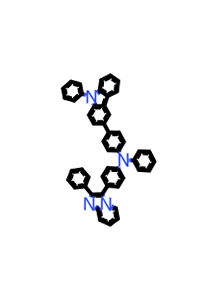 c1ccc(-c2nc3ccccn3c2-c2ccc(N(c3ccccc3)c3ccc(-c4ccc5c(c4)c4ccccc4n5-c4ccccc4)cc3)cc2)cc1